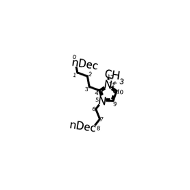 CCCCCCCCCCCCCc1n(CCCCCCCCCCCC)cc[n+]1C